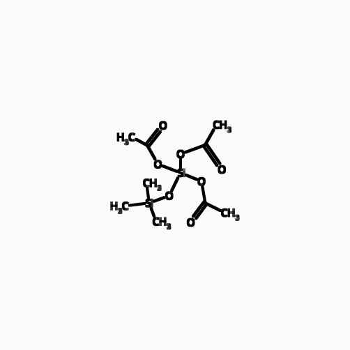 CC(=O)O[Si](OC(C)=O)(OC(C)=O)O[Si](C)(C)C